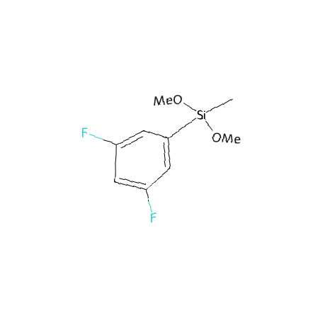 CO[Si](C)(OC)c1cc(F)cc(F)c1